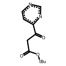 CC(C)(C)OC(=O)CC(=O)c1ccncn1